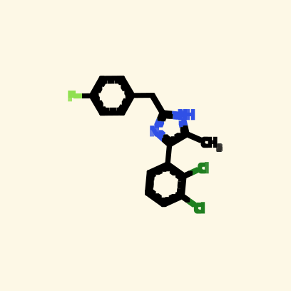 Cc1[nH]c(Cc2ccc(F)cc2)nc1-c1cccc(Cl)c1Cl